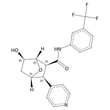 O=C(Nc1cccc(C(F)(F)F)c1)[C@@H]1[C@@H]2O[C@@H](C[C@H]2O)[C@@H]1c1ccncc1